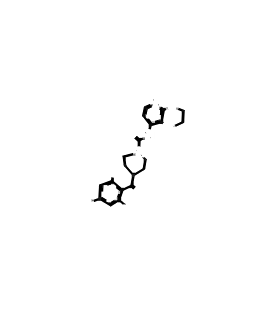 O=C(c1c(F)cc(Cl)cc1F)C1CCN(C(=O)Nc2ccnc3c2OCCO3)CC1